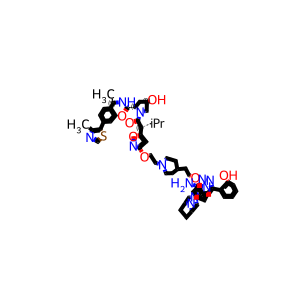 Cc1ncsc1-c1ccc([C@H](C)NC(=O)[C@@H]2C[C@@H](O)CN2C(=O)[C@@H](c2cc(OCCN3CCC(CCOc4cc(N5C6CCC5CN(c5cc(-c7ccccc7O)nnc5N)C6)ccn4)CC3)no2)C(C)C)cc1